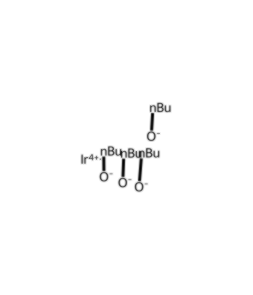 CCCC[O-].CCCC[O-].CCCC[O-].CCCC[O-].[Ir+4]